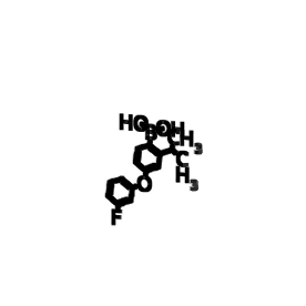 CC(C)c1cc(Oc2cccc(F)c2)ccc1B(O)O